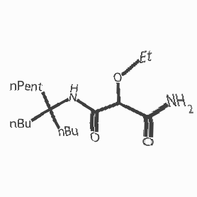 CCCCCC(CCCC)(CCCC)NC(=O)C(OCC)C(N)=O